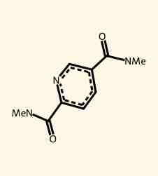 CNC(=O)c1ccc(C(=O)NC)nc1